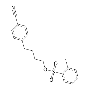 Cc1ccccc1S(=O)(=O)OCCCCc1ccc(C#N)cc1